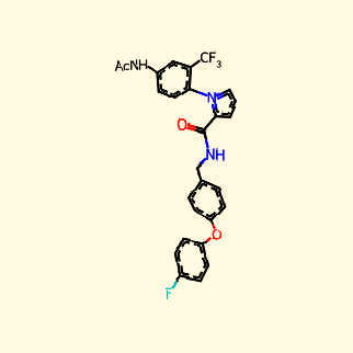 CC(=O)Nc1ccc(-n2cccc2C(=O)NCc2ccc(Oc3ccc(F)cc3)cc2)c(C(F)(F)F)c1